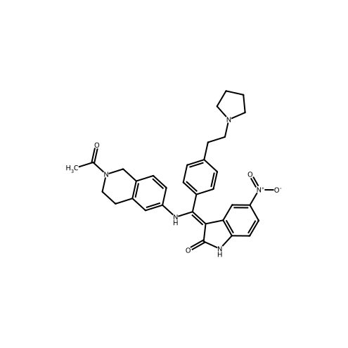 CC(=O)N1CCc2cc(NC(=C3C(=O)Nc4ccc([N+](=O)[O-])cc43)c3ccc(CCN4CCCC4)cc3)ccc2C1